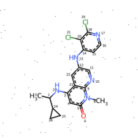 CC(Nc1cc(=O)n(C)c2ncc(Nc3ccnc(Cl)c3Cl)cc12)C1CC1